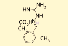 CC(=O)O.Cc1ccccc1/C=N/NC(=N)N